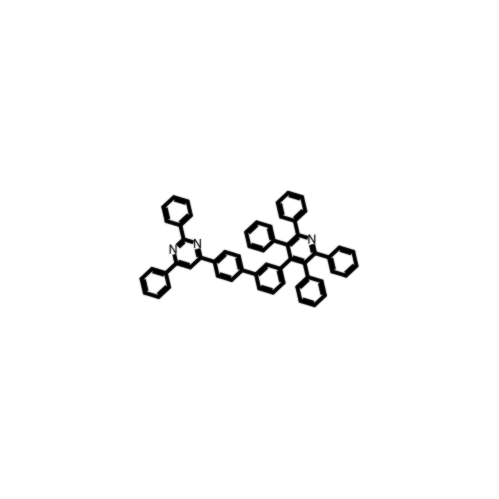 c1ccc(-c2cc(-c3ccc(-c4cccc(-c5c(-c6ccccc6)c(-c6ccccc6)nc(-c6ccccc6)c5-c5ccccc5)c4)cc3)nc(-c3ccccc3)n2)cc1